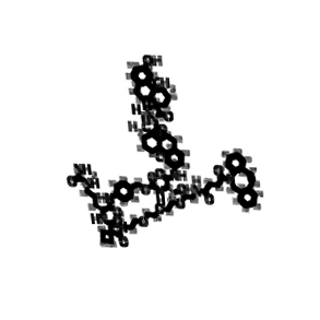 C[C@]1(C(=O)NC(=O)[C@@]2(C)CCC[C@]3(C)c4cc(NC(=O)[C@H](CO)NC(=O)OCc5ccc(NC(=O)[C@H](CCCNC(N)=O)NC(=O)C6(C(=O)NCCOCCOCCOCCNC(=O)CCC(=O)N7Cc8ccccc8C#Cc8ccccc87)CCC6)cc5)ccc4CC[C@@H]23)CCC[C@]2(C)c3cc(O)ccc3CC[C@@H]12